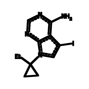 CCC1(n2cc(I)c3c(N)ncnc32)CC1